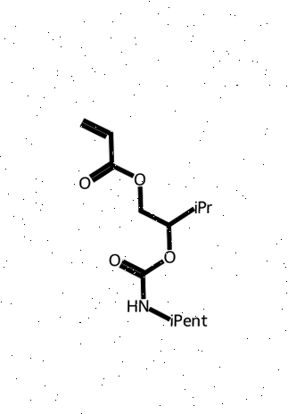 C=CC(=O)OCC(OC(=O)NC(C)CCC)C(C)C